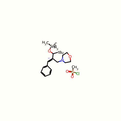 CS(=O)(=O)Cl.C[SiH](C)OC(/C(=C/c1ccccc1)CN1CCOCC1)C(C)(C)C